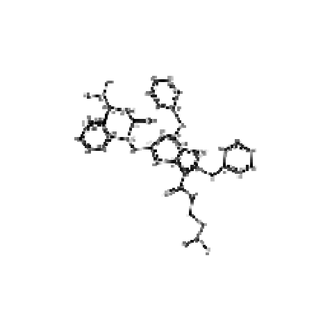 CC(C)CCOC(=O)c1c(Cc2ccccc2)oc2c(Cc3ccccc3)cc(CC(C(=O)N[C@@H](CO)C(C)C)c3ccccc3)cc12